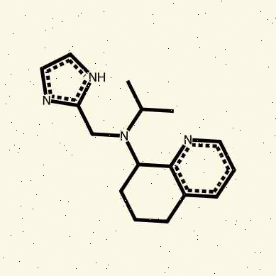 CC(C)N(Cc1ncc[nH]1)C1CCCc2cccnc21